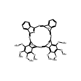 CCCCOc1c(OCCCC)c(OCCCC)c2c(c1OCCCC)-c1nc-2nc2[nH]c(nc3nc(nc4[nH]c(n1)c1ccccc41)-c1ccccc1-3)c1c(OCCCC)c(OCCCC)c(OCCCC)c(OCCCC)c21